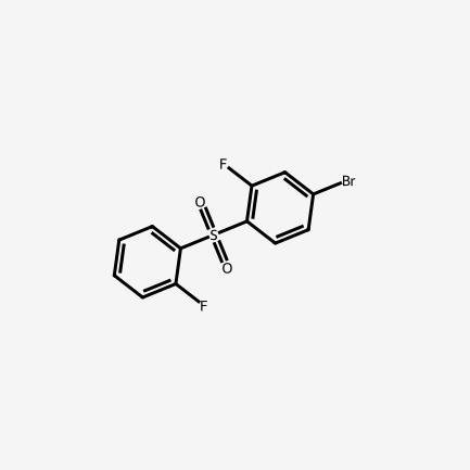 O=S(=O)(c1ccccc1F)c1ccc(Br)cc1F